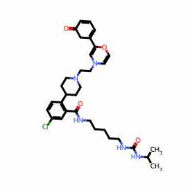 CC(C)NC(=O)NCCCCCNC(=O)c1cc(Cl)ccc1C1CCN(CCN2C=COC(C3=CC=CC(=O)C3)=C2)CC1